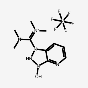 CN(C)C(N1NN(O)c2ncccc21)=[N+](C)C.F[P-](F)(F)(F)(F)F